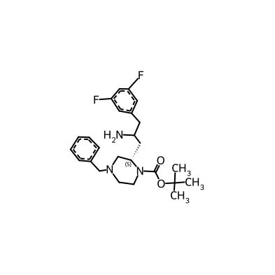 CC(C)(C)OC(=O)N1CCN(Cc2ccccc2)C[C@@H]1CC(N)Cc1cc(F)cc(F)c1